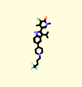 Cc1c(-c2[nH]c3ccc(C4CCN(CCCC(F)(F)F)CC4)cc3c2C(C)C)cn(C)c(=O)c1Cl